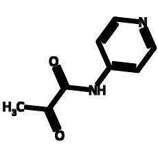 CC(=O)C(=O)Nc1ccncc1